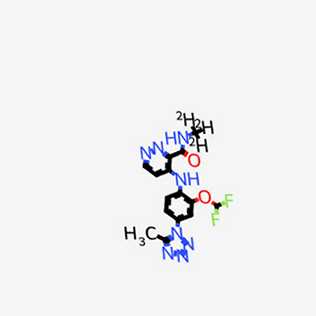 [2H]C([2H])([2H])NC(=O)c1nnccc1Nc1ccc(-n2nnnc2C)cc1OC(F)F